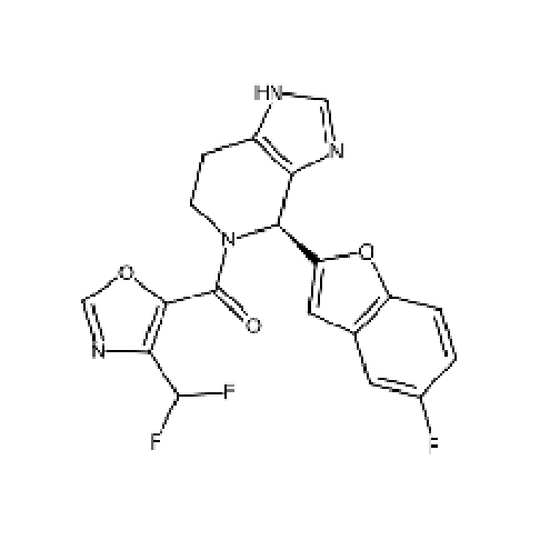 O=C(c1ocnc1C(F)F)N1CCc2[nH]cnc2[C@H]1c1cc2cc(F)ccc2o1